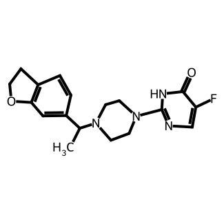 CC(c1ccc2c(c1)OCC2)N1CCN(c2ncc(F)c(=O)[nH]2)CC1